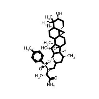 Cc1ccc(S(=O)(=O)N(CC2C[C@@H](C)[C@H]3C(O2)[C@H](O)[C@@]2(C)C4CC[C@H]5C(C)(C)[C@@H](O)CC[C@@]56C[C@@]46CC[C@]32C)[C@@H](C)C(N)=O)cc1